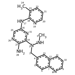 CNN(Cc1ccc2ncccc2c1)c1nc(Nc2ncccc2C)cnc1N